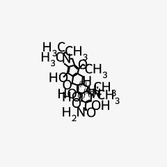 COc1c2c(c(O)c3c1C[C@H]1C[C@H]4[C@H](N(C)C)C(O)=C(C(N)=O)C(=O)[C@@]4(O)C(O)=C1C3=O)CN(C(C)(C)C)C2